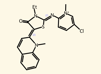 CCN1C(=O)/C(=C2\C=Cc3ccccc3N2C)S/C1=N\c1ccc(Cl)c[n+]1C